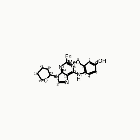 COc1cc(O)ccc1Nc1nc(F)nc2c1ncn2C1CCCCO1